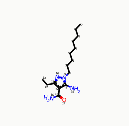 CCCCCCCCCn1nc(CC)c(C(N)=O)c1N